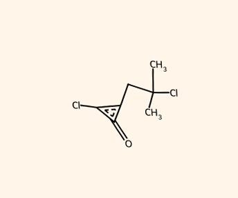 CC(C)(Cl)Cc1c(Cl)c1=O